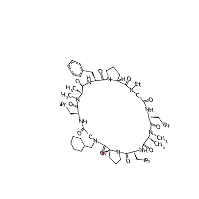 CCN1CC(=O)N[C@@H](CC(C)C)C(=O)N(C)[C@@H](C)C(=O)N[C@@H](CC(C)C)C(=O)N2CCC[C@@H]2C(=O)N(CC2CCCCC2)CC(=O)N[C@@H](CC(C)C)C(=O)N(C)[C@@H](C)C(=O)N[C@@H](Cc2ccccc2)C(=O)N2CCC[C@@H]2C1=O